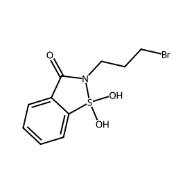 O=C1c2ccccc2S(O)(O)N1CCCBr